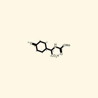 COC(=O)NC(C(=O)O)C1CCC(=O)CC1